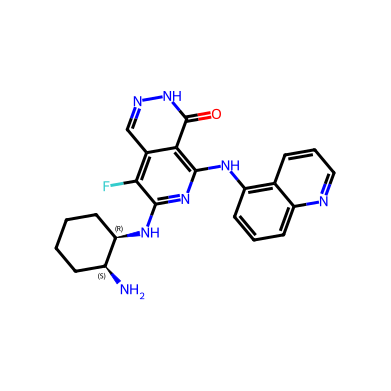 N[C@H]1CCCC[C@H]1Nc1nc(Nc2cccc3ncccc23)c2c(=O)[nH]ncc2c1F